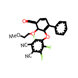 COCCOC1C(=C=O)C=CC(c2ccccc2)=C1Oc1c(F)c(F)c(C#N)c(C#N)c1F